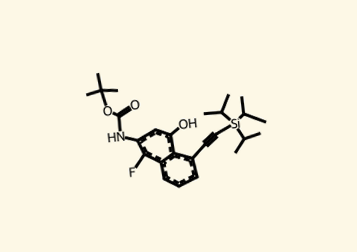 CC(C)[Si](C#Cc1cccc2c(F)c(NC(=O)OC(C)(C)C)cc(O)c12)(C(C)C)C(C)C